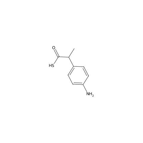 CC(C(=O)S)c1ccc(N)cc1